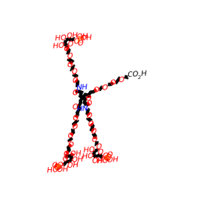 O=C(O)CCOCCOCCOCCOCCC(=O)CC(CCC(=O)CCCOCCOCCOCCOCCOC1OC(COP(=O)(O)O)C(O)C(O)C1O)(CCC(=O)NCCOCCOCCOCCOCCOC1OC(COP(=O)(O)O)C(O)C(O)C1O)CCC(=O)NCCOCCOCCOCCOCCOC1OC(COP(=O)(O)O)C(O)C(O)C1O